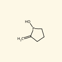 C=C1CCCP1O